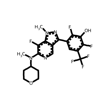 CN(c1ncc2c(-c3cc(C(F)(F)F)c(F)c(O)c3F)nn(C)c2c1F)C1CCOCC1